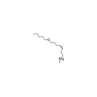 CCCCCOCCC/C=C\C[CH2][Mg][I]